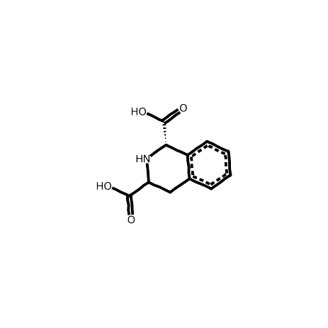 O=C(O)C1Cc2ccccc2[C@@H](C(=O)O)N1